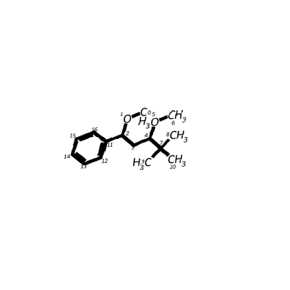 COC(CC(OC)C(C)(C)C)c1ccccc1